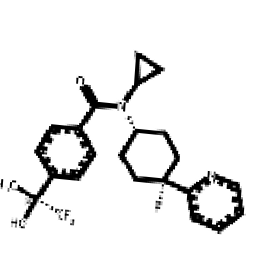 C[C@](O)(c1ccc(C(=O)N(C2CC2)[C@H]2CC[C@](F)(c3ccccn3)CC2)cc1)C(F)(F)F